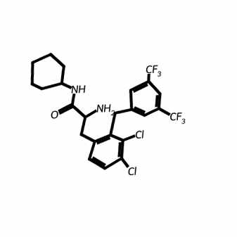 NC(Cc1ccc(Cl)c(Cl)c1Cc1cc(C(F)(F)F)cc(C(F)(F)F)c1)C(=O)NC1CCCCC1